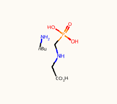 CCCCN.O=C(O)CNCP(=O)(O)O